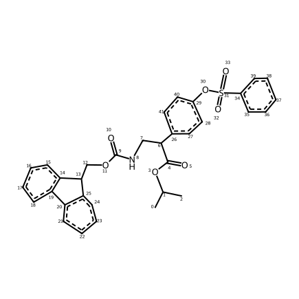 CC(C)OC(=O)C(CNC(=O)OCC1c2ccccc2-c2ccccc21)c1ccc(OS(=O)(=O)c2ccccc2)cc1